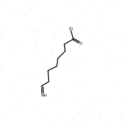 CCC(=O)CCCCCCC=N